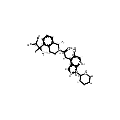 C[C@H]1c2cccc(C(C)(O)C(F)F)c2CCN1C(=O)Cc1c(Cl)cnc2c1cnn2C1CCCCO1